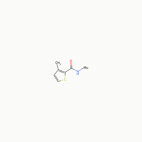 Cc1ccsc1C(=O)NC(C)(C)C